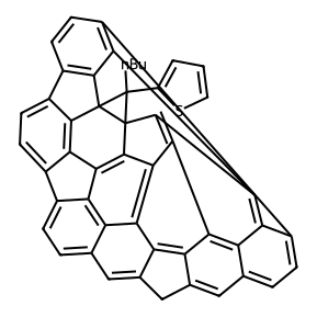 CCCCC1(c2cccs2)C23c4c5ccc6c7ccc8cc9c%10c%11c(cc%12ccc%13c%14ccc-5c2c%14c2c5c(c%14c(c(c46)c7c8c%10%14)C513)c%11c%12c%132)C9